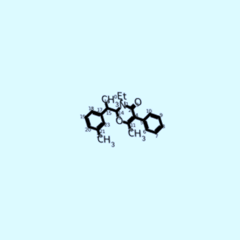 CCN1C(=O)C(c2ccccc2)=C(C)OC1C(C)c1cccc(C)c1